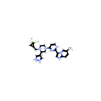 FC(F)(F)c1ccc2ncc(-c3nccc(N4CCN(CC5CC5(F)F)C(c5cn[nH]c5)C4)n3)n2c1